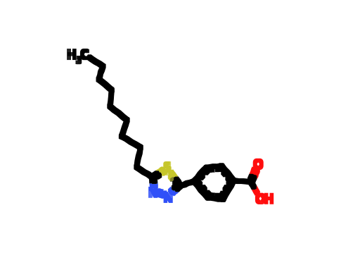 CCCCCCCCCc1nnc(-c2ccc(C(=O)O)cc2)s1